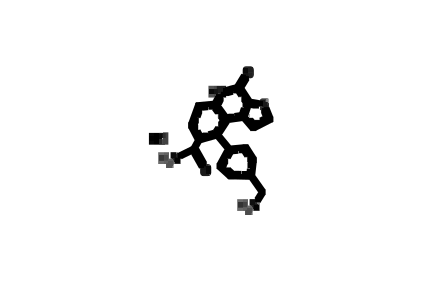 Cl.NCc1ccc(-c2c(C(N)=O)ccc3[nH]c(=O)c4sccc4c23)cc1